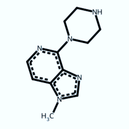 Cn1cnc2c(N3CCNCC3)nccc21